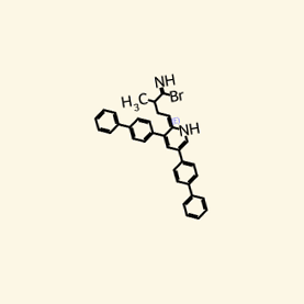 CC(C/C=C1/NC=C(c2ccc(-c3ccccc3)cc2)C=C1c1ccc(-c2ccccc2)cc1)C(=N)Br